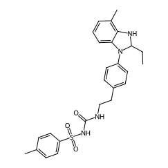 CCC1Nc2c(C)cccc2N1c1ccc(CCNC(=O)NS(=O)(=O)c2ccc(C)cc2)cc1